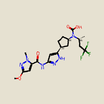 COc1cc(C(=O)Nc2cc([C@H]3CC[C@@H](N(C(=O)O)[C@H](C)CC(F)(F)F)C3)[nH]n2)n(C)n1